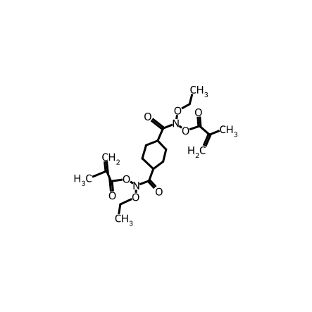 C=C(C)C(=O)ON(OCC)C(=O)C1CCC(C(=O)N(OCC)OC(=O)C(=C)C)CC1